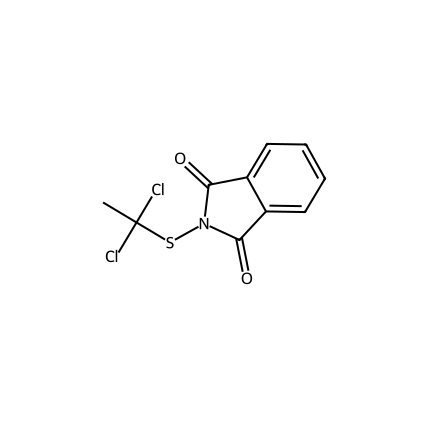 CC(Cl)(Cl)SN1C(=O)c2ccccc2C1=O